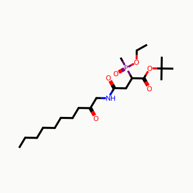 CCCCCCCCC(=O)CNC(=O)CC(C(=O)OC(C)(C)C)P(C)(=O)OCC